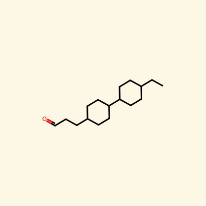 CCC1CCC(C2CCC(CCC=O)CC2)CC1